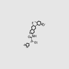 CC[C@H]1[C@H](C(=O)Nc2cc3cc(-c4c[n+]([O-])ccc4C)c(F)cc3cn2)[C@H]1c1cnn(C)c1